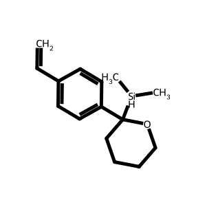 C=Cc1ccc(C2([SiH](C)C)CCCCO2)cc1